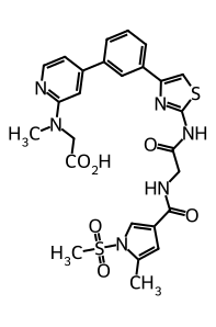 Cc1cc(C(=O)NCC(=O)Nc2nc(-c3cccc(-c4ccnc(N(C)CC(=O)O)c4)c3)cs2)cn1S(C)(=O)=O